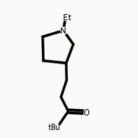 CCN1CCC(CCC(=O)C(C)(C)C)C1